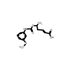 CSc1cccc(NC(=O)OC(C)CC=CC(=O)O)c1